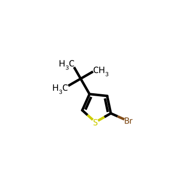 CC(C)(C)c1csc(Br)c1